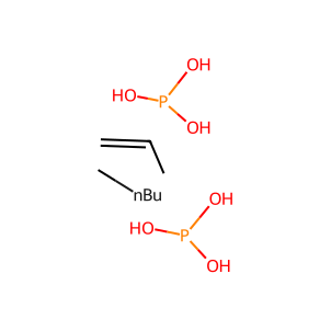 C=CC.CCCCC.OP(O)O.OP(O)O